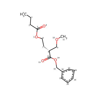 CCCC(=O)OCC[C@H](COC)C(=O)OCc1ccccc1